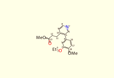 CCOc1cc(-c2cnccc2CCC(=O)OC)ccc1OC